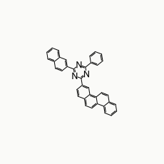 c1ccc(-c2nc(-c3ccc4ccccc4c3)nc(-c3ccc4ccc5c6ccccc6ccc5c4c3)n2)cc1